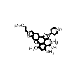 COCCn1cc2c(n1)CCC(c1nn(C3CCNCC3)c(C)c1-c1c(Cl)c(C)cc(N)c1C(=N)N)C2